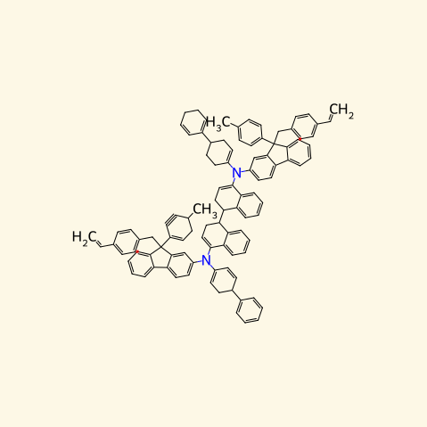 C=Cc1ccc(CC2(C3=CCC(C)C#C3)c3ccccc3-c3ccc(N(C4=CCC(c5ccccc5)C=C4)C4=CCC(C5CC=C(N(C6=CCC(C7=CCCC=C7)CC6)c6ccc7c(c6)C(Cc6ccc(C=C)cc6)(c6ccc(C)cc6)c6ccccc6-7)c6ccccc65)c5ccccc54)cc32)cc1